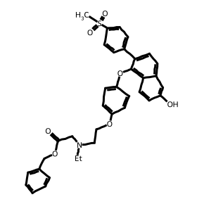 CCN(CCOc1ccc(Oc2c(-c3ccc(S(C)(=O)=O)cc3)ccc3cc(O)ccc23)cc1)CC(=O)OCc1ccccc1